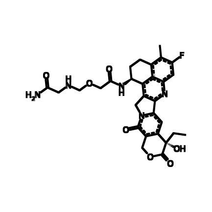 CC[C@@]1(O)C(=O)OCc2c1cc1n(c2=O)Cc2c-1nc1cc(F)c(C)c3c1c2[C@@H](NC(=O)COCNCC(N)=O)CC3